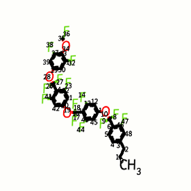 CCCc1ccc(C(F)(F)Oc2cc(F)c(C(F)(F)Oc3cc(F)c(C(F)(F)Oc4cc(F)c(OCF)c(F)c4)c(F)c3)c(F)c2)c(F)c1